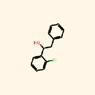 OC(Cc1ccccc1)c1ccccc1Cl